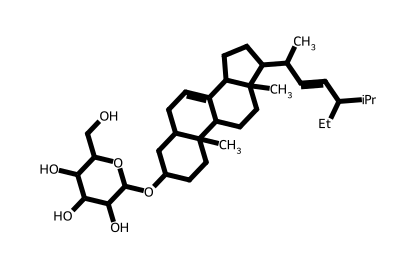 CCC(/C=C/C(C)C1CCC2C3=CCC4CC(OC5OC(CO)C(O)C(O)C5O)CCC4(C)C3CCC21C)C(C)C